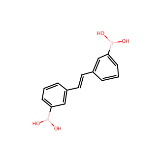 OB(O)c1cccc(/C=C/c2cccc(B(O)O)c2)c1